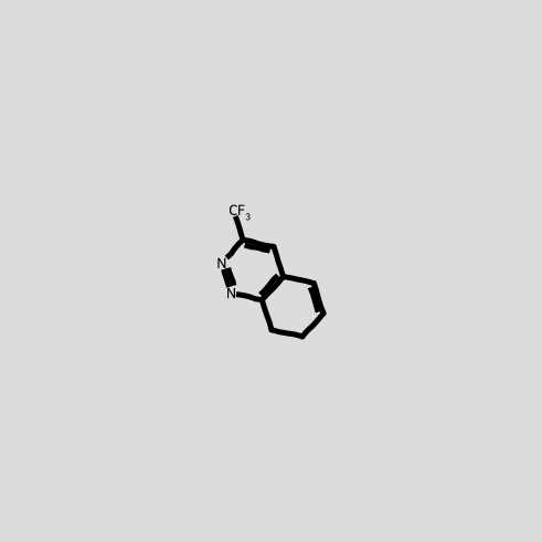 FC(F)(F)c1cc2c(nn1)CCC=C2